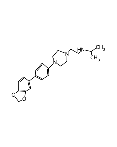 CC(C)NCCN1CCN(c2ccc(-c3ccc4c(c3)OCO4)cc2)CC1